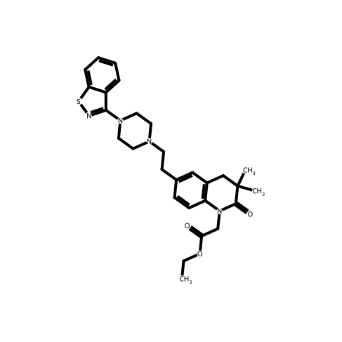 CCOC(=O)CN1C(=O)C(C)(C)Cc2cc(CCN3CCN(c4nsc5ccccc45)CC3)ccc21